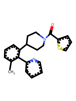 Cc1cccc(C2CCN(C(=O)c3cccs3)CC2)c1-c1ccccn1